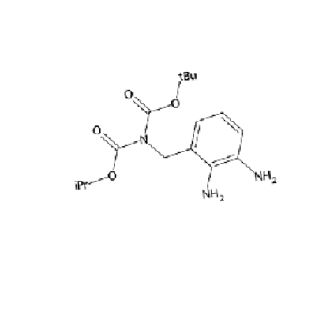 CC(C)OC(=O)N(Cc1cccc(N)c1N)C(=O)OC(C)(C)C